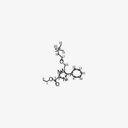 CCOC(=O)c1nc(-c2ccccc2)n(COCC[Si](C)(C)C)n1